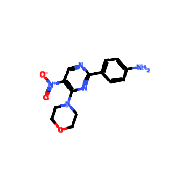 Nc1ccc(-c2ncc([N+](=O)[O-])c(N3CCOCC3)n2)cc1